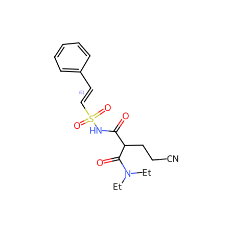 CCN(CC)C(=O)C(CCC#N)C(=O)NS(=O)(=O)/C=C/c1ccccc1